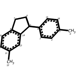 Cc1ccc(C2CCc3ccc(C)cc32)cc1